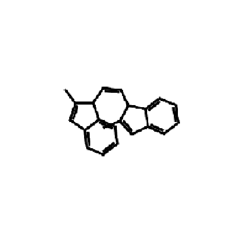 CC1=Cc2ccccc2C1/C=C\C1C(C)=Cc2ccccc21